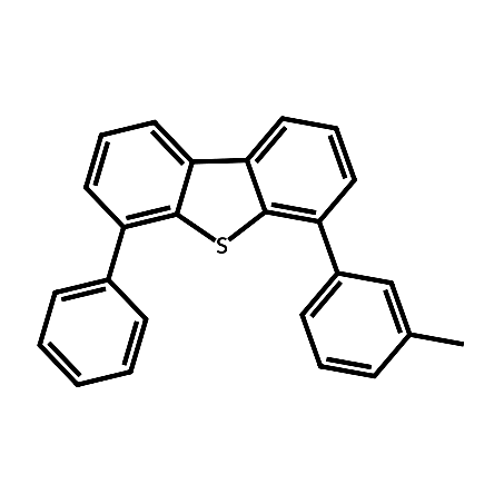 Cc1cccc(-c2cccc3c2sc2c(-c4ccccc4)cccc23)c1